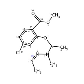 C/N=N\N(C)C(C)Oc1cc(Cl)ccc1C(=O)OC